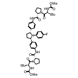 COC(=O)N[C@H](C(=O)N1CCC[C@H]1C(=O)Nc1ccc([C@H]2CC[C@H](c3ccc(NC(=O)[C@@H]4CCCN4C(=O)[C@@H](NC(=O)OC)C(C)(C)C)cc3)N2c2ccc(F)cc2)cc1)C(C)(C)C